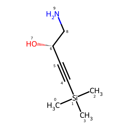 C[Si](C)(C)C#C[C@H](O)CN